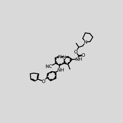 Cc1c(NC(=O)OC(C)CN2CCCCC2)cn2ncc(C#N)c(Nc3ccc(OC4=CCCC=C4)cc3)c12